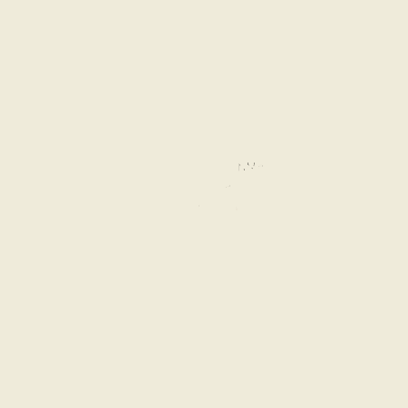 CNC(=O)C1(Oc2ccccc2)CCCCC1